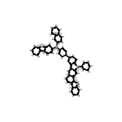 C1=CC(c2ccc3c(c2)c2cc4ccc5c6ccccc6sc5c4cc2n3-c2ccccc2)CC=C1N(c1ccc2ccccc2c1)c1ccc2c(c1)oc1ccccc12